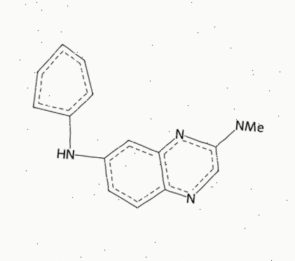 CNc1cnc2ccc(Nc3ccccc3)cc2n1